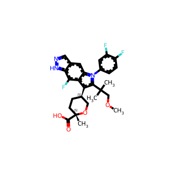 COCC(C)(C)c1c([C@@H]2CC[C@@](C)(C(=O)O)OC2)c2c(F)c3[nH]ncc3cc2n1-c1ccc(F)c(F)c1